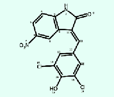 O=C1Nc2ccc([N+](=O)[O-])cc2C1=Cc1cc(Cl)c(O)c(Cl)c1